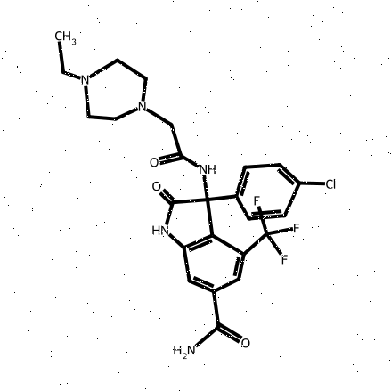 CCN1CCN(CC(=O)NC2(c3ccc(Cl)cc3)C(=O)Nc3cc(C(N)=O)cc(C(F)(F)F)c32)CC1